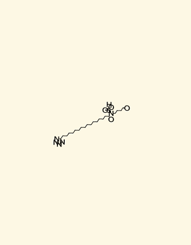 O=CCCCN(C(=O)CCCCCCCCCCCCCCCC1N=NN=N1)[SH](=O)=O